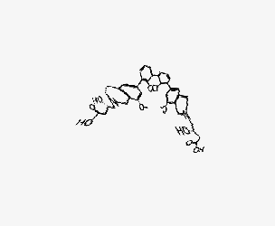 COc1cc(-c2cccc(-c3cccc(-c4cc5c(c(OC)c4)CN(C[C@@H](O)CC(=O)O)CC5)c3Cl)c2Cl)cc2c1CN(C[C@@H](O)CC(=O)O)CC2